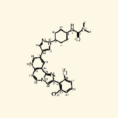 CN(C)C(=O)NC1CCC(n2cc(-c3cnc4ccn5cc(-c6c(Cl)cccc6Cl)nc5c4c3)cn2)CC1